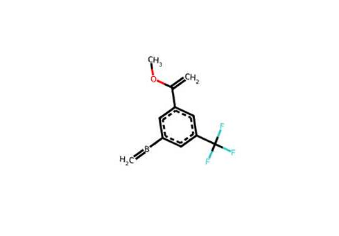 C=Bc1cc(C(=C)OC)cc(C(F)(F)F)c1